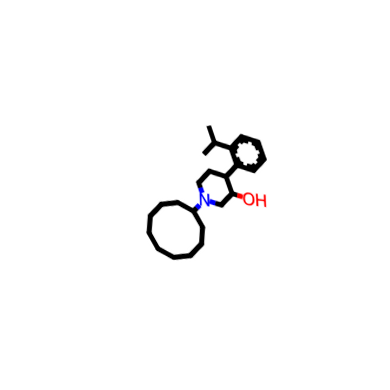 CC(C)c1ccccc1C1CCN(C2CCCCCCCCC2)CC1O